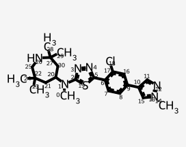 CN(c1nnc(-c2ccc(-c3cnn(C)c3)cc2Cl)s1)C1CC(C)(C)CNC(C)(C)C1